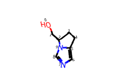 OCC1CCc2cncn21